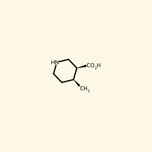 C[C@H]1CCNC[C@H]1C(=O)O